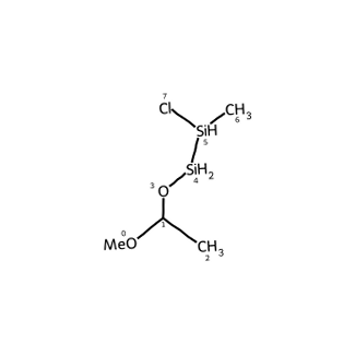 COC(C)O[SiH2][SiH](C)Cl